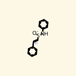 [O-][S+](/C=C/c1ccccc1)Nc1ccccc1